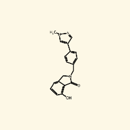 Cn1cc(-c2ccc(CN3Cc4cccc(O)c4C3=O)cc2)cn1